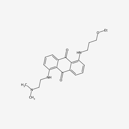 CCOCCCNc1cccc2c1C(=O)c1cccc(NCCN(C)C)c1C2=O